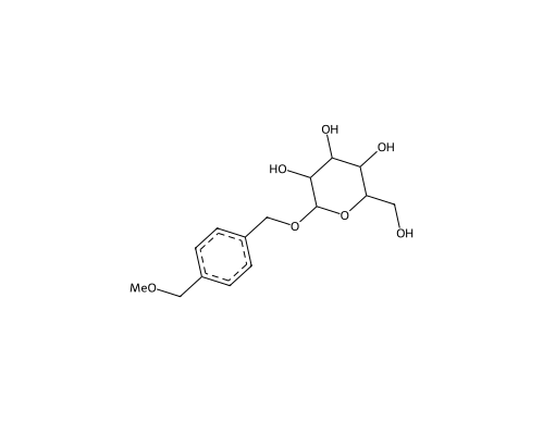 COCc1ccc(COC2OC(CO)C(O)C(O)C2O)cc1